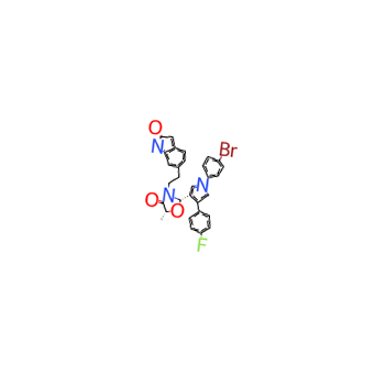 C[C@H]1O[C@@H](c2cn(-c3ccc(Br)cc3)cc2-c2ccc(F)cc2)N(CCc2ccc3c(c2)=NC(=O)C=3)C1=O